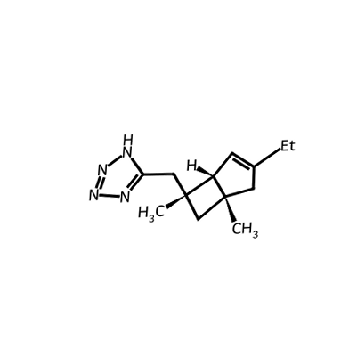 CCC1=C[C@H]2[C@@](C)(Cc3nnn[nH]3)C[C@@]2(C)C1